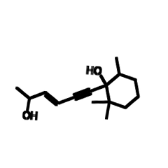 CC(O)C=CC#CC1(O)C(C)CCCC1(C)C